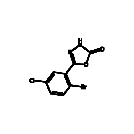 O=c1[nH]nc(-c2cc(Cl)ccc2Br)o1